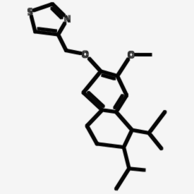 COc1cc2c(cc1OCc1cscn1)CCC(C(C)C)C2C(C)C